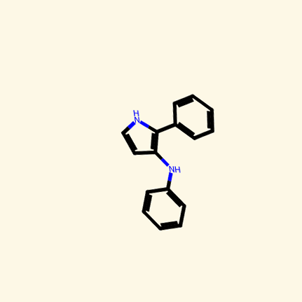 c1ccc(Nc2cc[nH]c2-c2ccccc2)cc1